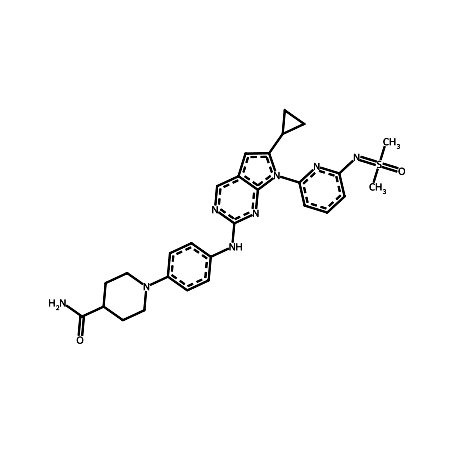 CS(C)(=O)=Nc1cccc(-n2c(C3CC3)cc3cnc(Nc4ccc(N5CCC(C(N)=O)CC5)cc4)nc32)n1